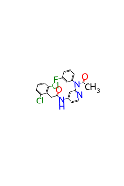 CC(=O)N(c1cccc(F)c1)c1cc(NC(=O)Cc2c(Cl)cccc2Cl)ccn1